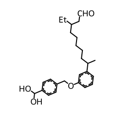 CCC(CC=O)CCCCCC(C)c1cccc(OCc2ccc(C(O)O)cc2)c1